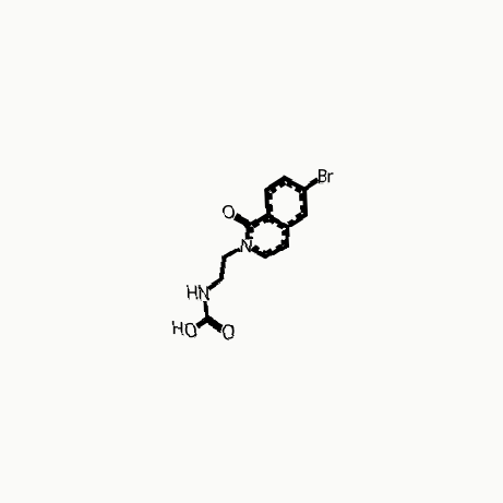 O=C(O)NCCn1ccc2cc(Br)ccc2c1=O